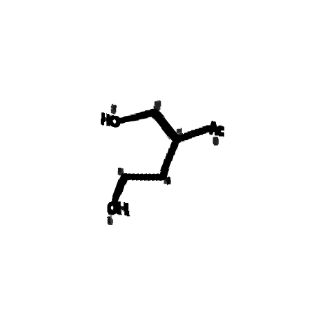 CC(=O)C(CO)CCO